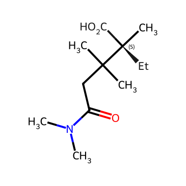 CC[C@](C)(C(=O)O)C(C)(C)CC(=O)N(C)C